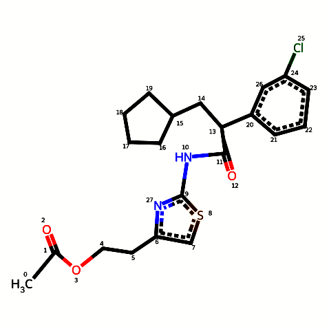 CC(=O)OCCc1csc(NC(=O)C(CC2CCCC2)c2cccc(Cl)c2)n1